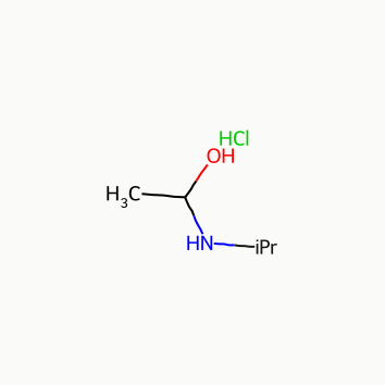 CC(C)NC(C)O.Cl